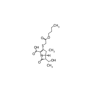 CCCCOC(=O)CSC1=C(C(=O)O)N2C(=O)[C@H]([C@@H](C)O)[C@H]2[C@H]1C